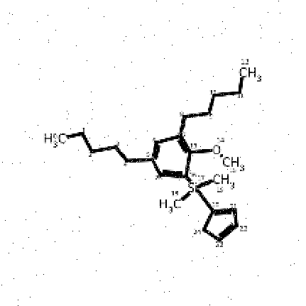 CCCCCc1cc(CCCCC)c(OC)c([Si](C)(C)C2=CC=CC2)c1